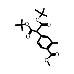 COC(=O)c1ccc(C(C(=O)OC(C)(C)C)C(=O)OC(C)(C)C)cc1C